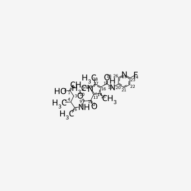 C=C(O)CC(C)[C@H](C)NC(=O)C(=O)c1c(C)c(C(=O)Nc2ccc(F)nc2)c(C)n1C